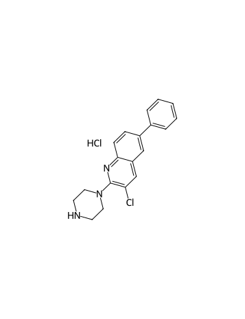 Cl.Clc1cc2cc(-c3ccccc3)ccc2nc1N1CCNCC1